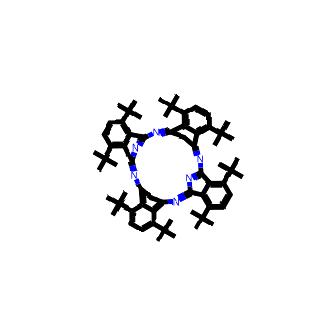 CC(C)(C)c1ccc(C(C)(C)C)c2c1C1=NC/2=N\C2=c3c(C(C)(C)C)ccc(C(C)(C)C)c3=C(C2)/N=C2N=C(/N=C3\C/C(=N\1)c1c(C(C)(C)C)ccc(C(C)(C)C)c13)c1c(C(C)(C)C)ccc(C(C)(C)C)c1\2